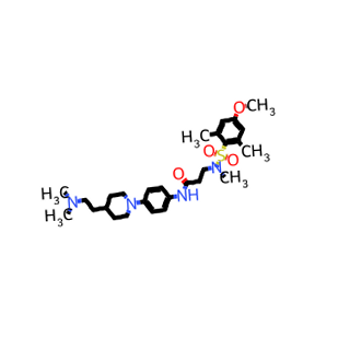 COc1cc(C)c(S(=O)(=O)N(C)CCC(=O)Nc2ccc(N3CCC(CCN(C)C)CC3)cc2)c(C)c1